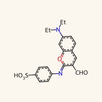 CCN(CC)c1ccc2cc(C=O)c(=Nc3ccc(S(=O)(=O)O)cc3)oc2c1